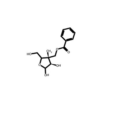 C[C@]1(COC(=O)c2ccccc2)C(CO)OC(O)[C@@H]1O